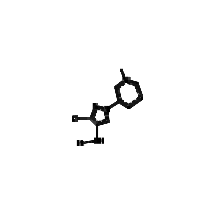 CCNc1cn(-c2ccc[n+](C)c2)nc1Cl